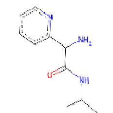 CC(C)NC(=O)C(N)c1ccccn1